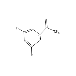 C=C(c1cc(F)cc(F)c1)C(F)(F)F